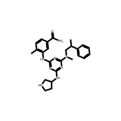 Cc1ccc(C(N)=O)cc1Nc1nc(NC2CCNC2)nc(N(C)CC(C)c2ccccc2)n1